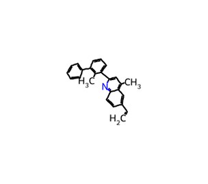 C=Cc1ccc2nc(-c3cccc(-c4ccccc4)c3C)cc(C)c2c1